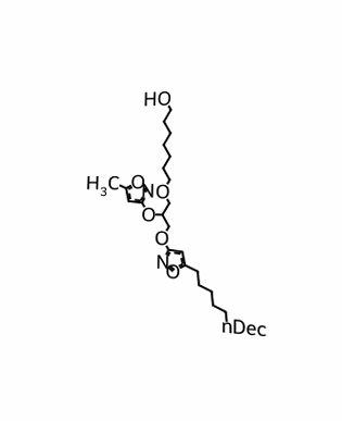 CCCCCCCCCCCCCCCc1cc(OCC(COCCCCCCCO)Oc2cc(C)on2)no1